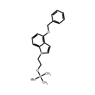 CC(C)(C)[Si](C)(C)OCCn1ccc2c(OCc3ccccc3)cccc21